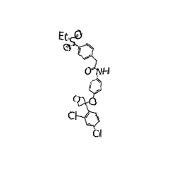 CCS(=O)(=O)c1ccc(CC(=O)Nc2ccc(OC3(c4ccc(Cl)cc4Cl)COC3)cc2)cc1